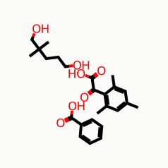 CC(C)(CO)CCCO.Cc1cc(C)c(C(=O)C(=O)O)c(C)c1.O=C(O)c1ccccc1